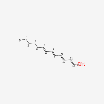 CCCCCC=CC=CC=CC=CO